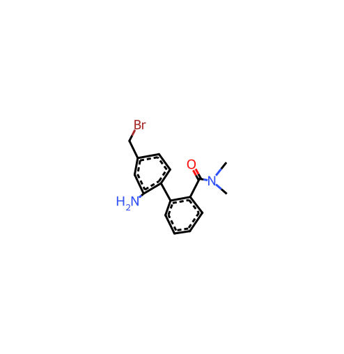 CN(C)C(=O)c1ccccc1-c1ccc(CBr)cc1N